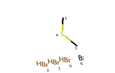 Br.Br.Br.CSC.[B]